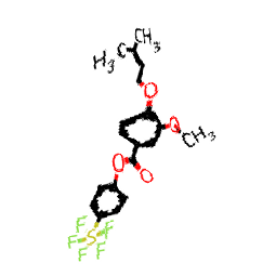 COc1cc(C(=O)Oc2ccc(S(F)(F)(F)(F)F)cc2)ccc1OCC=C(C)C